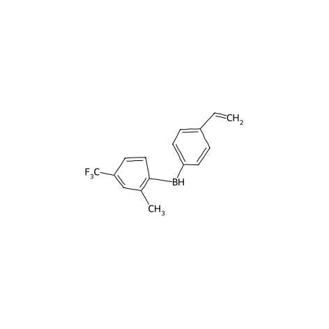 C=Cc1ccc(Bc2ccc(C(F)(F)F)cc2C)cc1